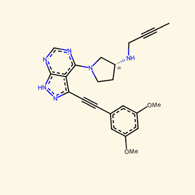 CC#CCN[C@@H]1CCN(c2ncnc3[nH]nc(C#Cc4cc(OC)cc(OC)c4)c23)C1